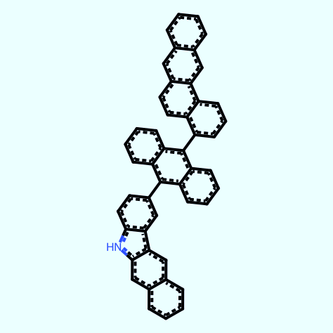 c1ccc2cc3c(ccc4c(-c5c6ccccc6c(-c6ccc7[nH]c8cc9ccccc9cc8c7c6)c6ccccc56)cccc43)cc2c1